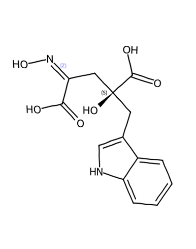 O=C(O)/C(C[C@@](O)(Cc1c[nH]c2ccccc12)C(=O)O)=N\O